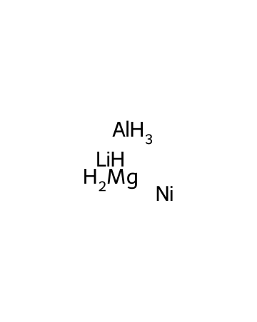 [AlH3].[LiH].[MgH2].[Ni]